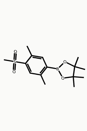 Cc1cc(S(C)(=O)=O)c(C)cc1B1OC(C)(C)C(C)(C)O1